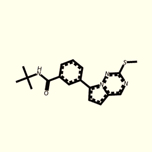 CSc1ncc2ccc(-c3cccc(C(=O)NC(C)(C)C)c3)n2n1